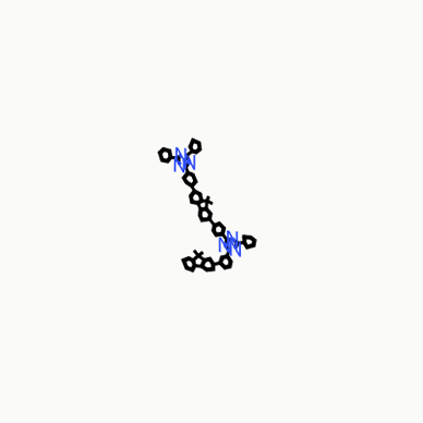 CC1(C)c2ccccc2-c2ccc(-c3cccc(-c4nc(-c5ccccc5)nc(-c5ccc(-c6ccc7c(c6)C(C)(C)c6cc(-c8ccc(-c9nc(-c%10ccccc%10)nc(-c%10ccccc%10)n9)cc8)ccc6-7)cc5)n4)c3)cc21